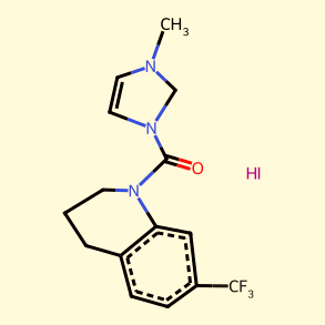 CN1C=CN(C(=O)N2CCCc3ccc(C(F)(F)F)cc32)C1.I